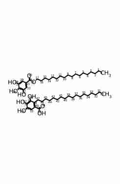 CCCCCCCCCCCCCCCCCCOC(=O)c1cc(O)c(O)c(O)c1.CCCCCCCCCCCCCCCCCCc1c(C(=O)O)cc(O)c(O)c1O